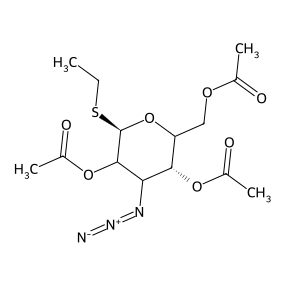 CCS[C@H]1OC(COC(C)=O)[C@H](OC(C)=O)C(N=[N+]=[N-])C1OC(C)=O